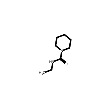 CCNC(=O)N1CCCCC1